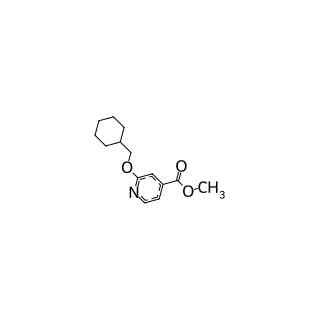 COC(=O)c1ccnc(OCC2CCCCC2)c1